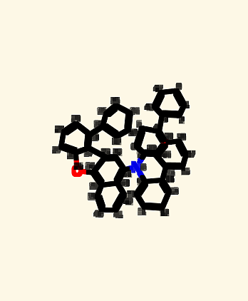 c1ccc(-c2ccc(N(c3ccccc3-c3ccccc3)c3cc4c(oc5cccc(-c6ccccc6)c54)c4ccccc34)cc2)cc1